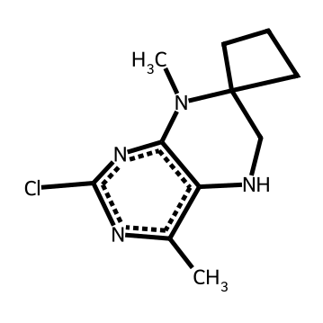 Cc1nc(Cl)nc2c1NCC1(CCC1)N2C